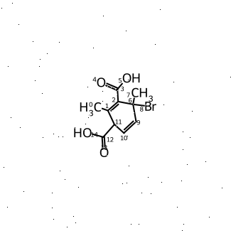 CC1=C(C(=O)O)C(C)(Br)C=CC1C(=O)O